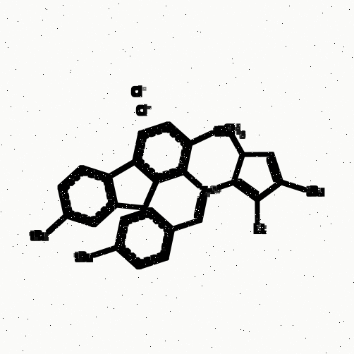 CCC1=[C](/[Zr+2](=[CH]/c2ccc(C(C)(C)C)cc2)[c]2c(C(C)(C)C)ccc3c2Cc2cc(C(C)(C)C)ccc2-3)C(C)C=C1C(C)(C)C.[Cl-].[Cl-]